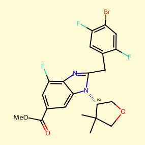 COC(=O)c1cc(F)c2nc(Cc3cc(F)c(Br)cc3F)n([C@@H]3COCC3(C)C)c2c1